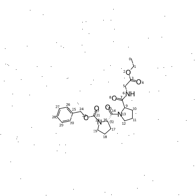 CCOC(=O)CNC(=O)C1CCCN1C(=O)[C@@H]1CCCN1C(=O)OCc1ccccc1